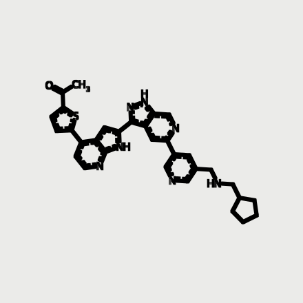 CC(=O)c1ccc(-c2ccnc3[nH]c(-c4n[nH]c5cnc(-c6cncc(CNCC7CCCC7)c6)cc45)cc23)s1